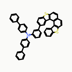 c1ccc(-c2ccc(N(c3ccc(-c4ccccc4)cc3)c3cccc(-c4ccc5sc6ccc7ccc8sc9ccccc9c8c7c6c5c4)c3)cc2)cc1